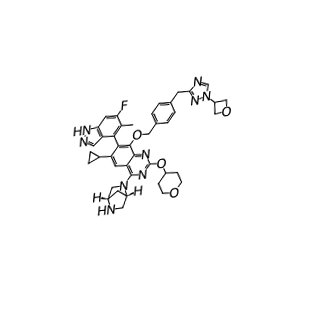 Cc1c(F)cc2[nH]ncc2c1-c1c(C2CC2)cc2c(N3C[C@@H]4C[C@H]3CN4)nc(OC3CCOCC3)nc2c1OCc1ccc(Cc2ncn(C3COC3)n2)cc1